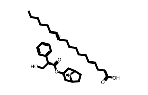 CCCCCC/C=C/CCCCCCCCCC(=O)O.CN1C2CCC1CC(OC(=O)C(CO)c1ccccc1)C2